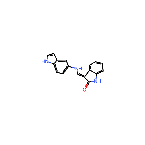 O=C1Nc2ccccc2/C1=C\Nc1ccc2[nH]ccc2c1